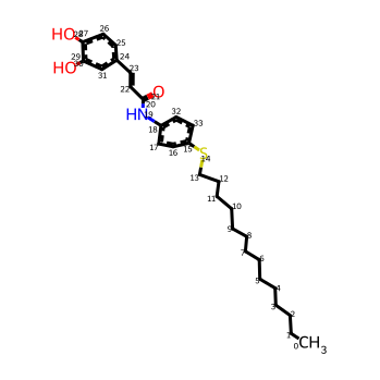 CCCCCCCCCCCCCCSc1ccc(NC(=O)C=Cc2ccc(O)c(O)c2)cc1